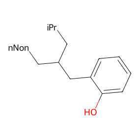 CCCCCCCCCCC(Cc1ccccc1O)CC(C)C